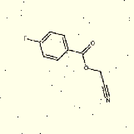 N#CCOC(=O)c1ccc(F)cc1